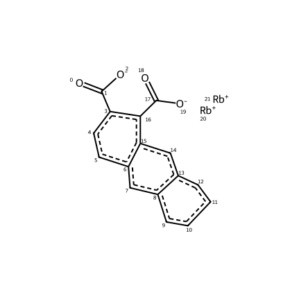 O=C([O-])c1ccc2cc3ccccc3cc2c1C(=O)[O-].[Rb+].[Rb+]